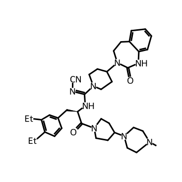 CCc1ccc(C[C@@H](N/C(=N/C#N)N2CCC(N3CCc4ccccc4NC3=O)CC2)C(=O)N2CCC(N3CCN(C)CC3)CC2)cc1CC